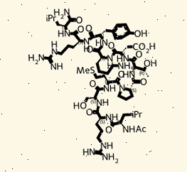 CSCC[C@H](NC(=O)[C@H](CO)NC(=O)[C@H](CCCNC(=N)N)NC(=O)[C@H](CC(C)C)NC(C)=O)C(=O)N1CCC[C@H]1C(=O)N[C@H](C(=O)N[C@@H](CC(=O)O)C(=O)N[C@@H](CCCCN)C(=O)N[C@@H](Cc1ccc(O)cc1)C(=O)N[C@@H](CCCNC(=N)N)C(=O)N[C@@H](CC(C)C)C(N)=O)[C@@H](C)O